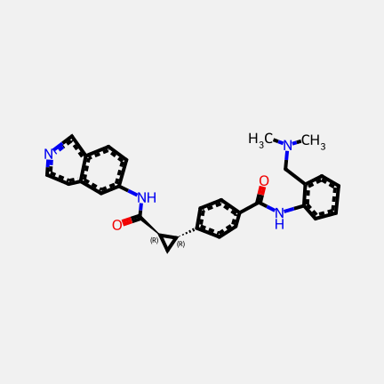 CN(C)Cc1ccccc1NC(=O)c1ccc([C@@H]2C[C@H]2C(=O)Nc2ccc3cnccc3c2)cc1